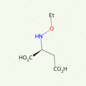 CCON[C@@H](CC(=O)O)C(=O)O